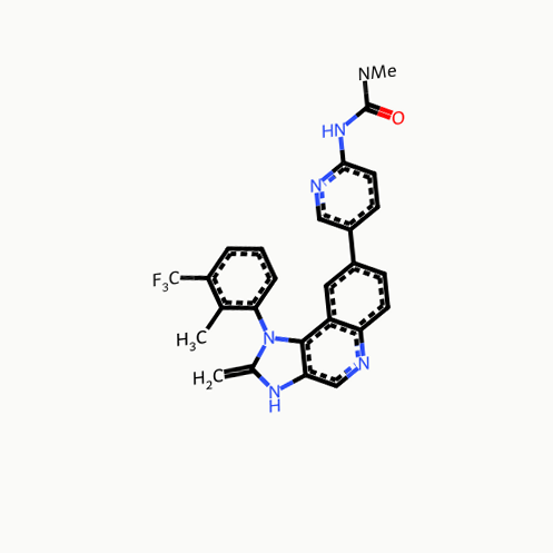 C=C1Nc2cnc3ccc(-c4ccc(NC(=O)NC)nc4)cc3c2N1c1cccc(C(F)(F)F)c1C